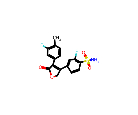 Cc1ccc(C2=C(c3ccc(S(N)(=O)=O)c(F)c3)COC2=O)cc1F